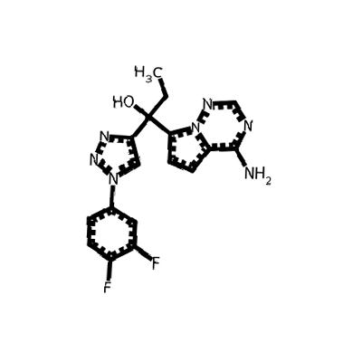 CCC(O)(c1cn(-c2ccc(F)c(F)c2)nn1)c1ccc2c(N)ncnn12